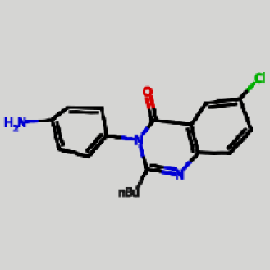 CCCCc1nc2ccc(Cl)cc2c(=O)n1-c1ccc(N)cc1